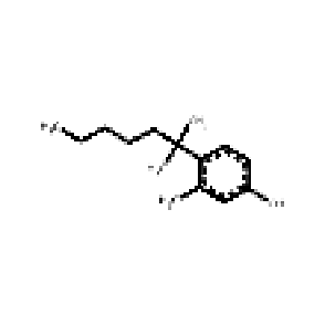 CCCCCC(C)(C)c1ccc(O)cc1C